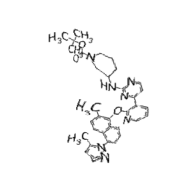 Cc1ccc2c(-n3nccc3C)cccc2c1Oc1ncccc1-c1ccnc(NC2CCCN(C(=O)OC(C)(C)C)C2)n1